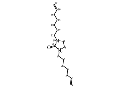 C=CCCCCCN1CCN(CCCCCC=C)C1=O